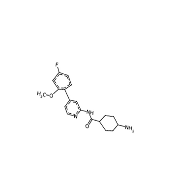 COc1cc(F)ccc1-c1ccnc(NC(=O)C2CCC(N)CC2)c1